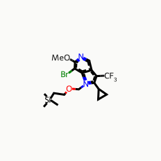 COc1ncc2c(C(F)(F)F)c(C3CC3)n(COCC[Si](C)(C)C)c2c1Br